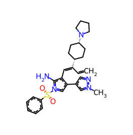 C=C/C(=C\c1c(-c2cnn(C)c2)cn(S(=O)(=O)c2ccccc2)c1N)[C@H]1CC[C@@H](N2CCCC2)CC1